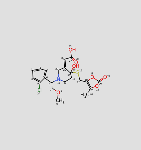 COC[C@H](c1ccccc1Cl)N1CCC(O)(SCc2oc(=O)oc2C)/C(=C\C(=O)O)C1